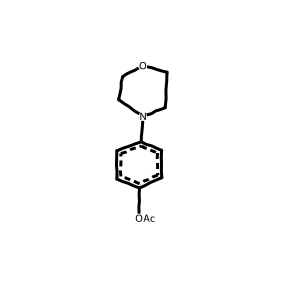 CC(=O)Oc1ccc(N2CCOCC2)cc1